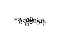 CC(C)(C)c1ccc(S(=O)(=O)N2CCc3cc(C(=O)NO)cc(Cl)c3C2)cc1